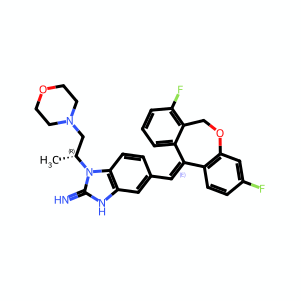 C[C@H](CN1CCOCC1)n1c(=N)[nH]c2cc(/C=C3/c4ccc(F)cc4OCc4c(F)cccc43)ccc21